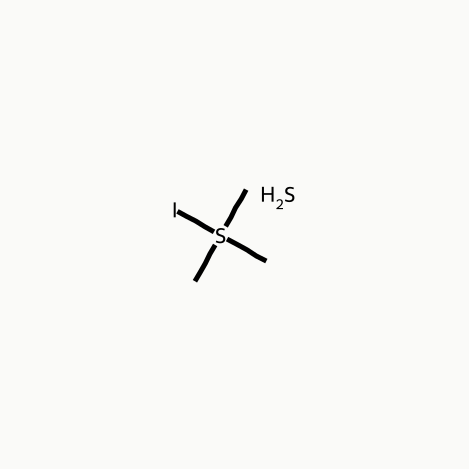 CS(C)(C)I.S